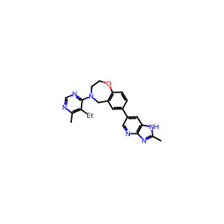 CCc1c(C)ncnc1N1CCOc2ccc(-c3cnc4nc(C)[nH]c4c3)cc2C1